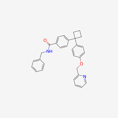 O=C(NCc1ccccc1)c1ccc(C2(c3ccc(OCc4ccccn4)cc3)CCC2)cc1